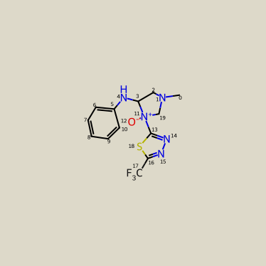 CN1CC(Nc2ccccc2)[N+]([O-])(c2nnc(C(F)(F)F)s2)C1